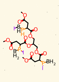 BP(I)C(CC(=O)OC)C(=O)OCC(COC(=O)C(CC(=O)OC)PBI)OC(=O)C(CC(=O)OC)P(B)I